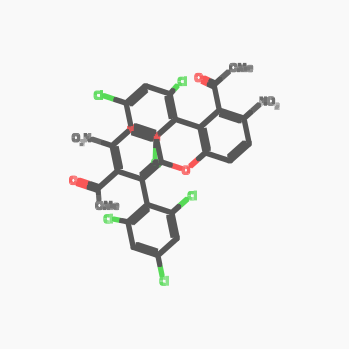 COC(=O)c1c([N+](=O)[O-])ccc(Oc2ccc([N+](=O)[O-])c(C(=O)OC)c2-c2c(Cl)cc(Cl)cc2Cl)c1-c1c(Cl)cc(Cl)cc1Cl